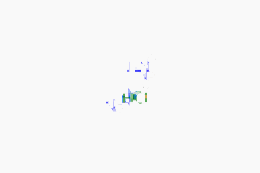 Cc1ccc2c(N3CCN(CCc4cccc(NC(=S)Nc5ccccc5)c4)CC3)cccc2n1.Cl.Cl